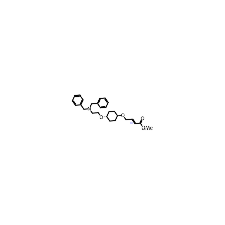 COC(=O)/C=C/CO[C@H]1CC[C@H](OCCN(Cc2ccccc2)Cc2ccccc2)CC1